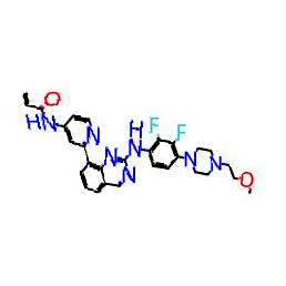 C=CC(=O)Nc1ccnc(-c2cccc3cnc(Nc4ccc(N5CCN(CCOC)CC5)c(F)c4F)nc23)c1